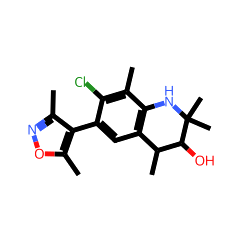 Cc1noc(C)c1-c1cc2c(c(C)c1Cl)NC(C)(C)C(O)C2C